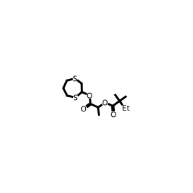 CCC(C)(C)C(=O)OC(C)C(=O)OC1CSCCCS1